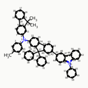 Cc1ccc(N(c2ccc3c(c2)C(C)(C)c2ccccc2-3)c2ccc3c(c2)C(c2ccccc2)(c2ccccc2)c2cc(-c4ccc5c(c4)c4ccccc4n5-c4ccccc4)ccc2-3)cc1